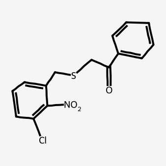 O=C(CSCc1cccc(Cl)c1[N+](=O)[O-])c1ccccc1